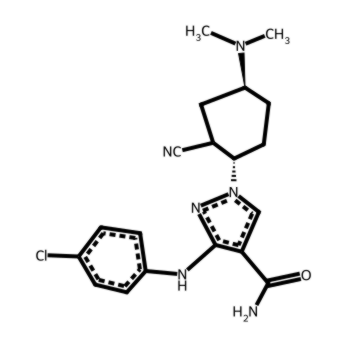 CN(C)[C@H]1CC[C@H](n2cc(C(N)=O)c(Nc3ccc(Cl)cc3)n2)C(C#N)C1